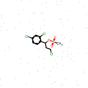 CS(=O)(=O)OC(CCCl)c1ccc(Cl)cc1Cl